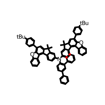 CC(C)(C)c1ccc(-c2cc3c(c4c2oc2ccccc24)-c2ccc(N(c4ccc5c(c4)C(C)(C)c4cc(-c6ccc(C(C)(C)C)cc6)c6oc7ccccc7c6c4-5)c4ccc(-c5ccccc5)cc4-c4ccccc4)cc2C3(C)C)cc1